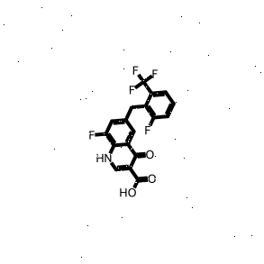 O=C(O)c1c[nH]c2c(F)cc(Cc3c(F)cccc3C(F)(F)F)cc2c1=O